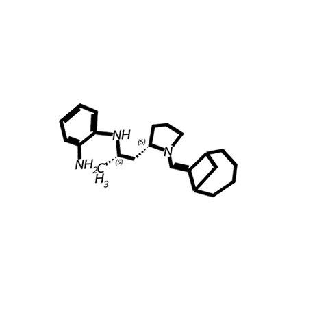 C[C@@H](C[C@@H]1CCCN1C=C1C2CCCCC1C2)Nc1ccccc1N